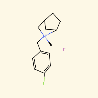 C[N@@+]1(Cc2ccc(F)cc2)CC2CCC1C2.[I-]